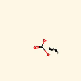 O=C([O-])[O-].[GeH2+2]